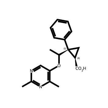 Cc1ncc(OC(C)[C@@]2(c3ccccc3)C[C@H]2C(=O)O)c(C)n1